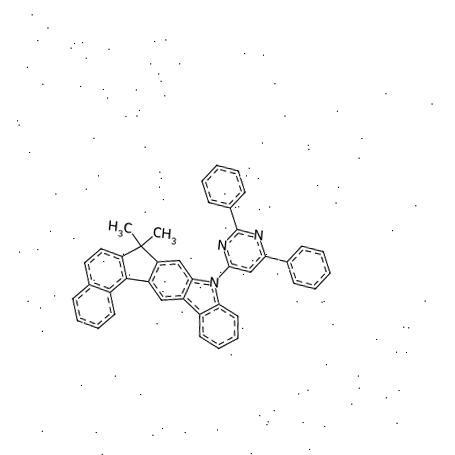 CC1(C)c2cc3c(cc2-c2c1ccc1ccccc21)c1ccccc1n3-c1cc(-c2ccccc2)nc(-c2ccccc2)n1